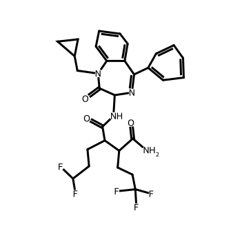 NC(=O)C(CCC(F)(F)F)C(CCC(F)F)C(=O)NC1N=C(c2ccccc2)c2ccccc2N(CC2CC2)C1=O